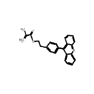 C=C(C)C(=O)OCCc1ccc(-c2c3ccccc3nc3ccccc23)cc1